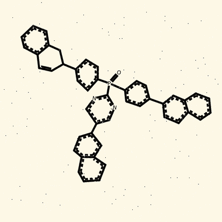 O=P(c1ccc(-c2ccc3ccccc3c2)cc1)(c1ccc(C2C=Cc3ccccc3C2)cc1)c1ncc(-c2ccc3ccccc3c2)cn1